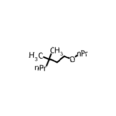 CCCOCCC(C)(C)CCC